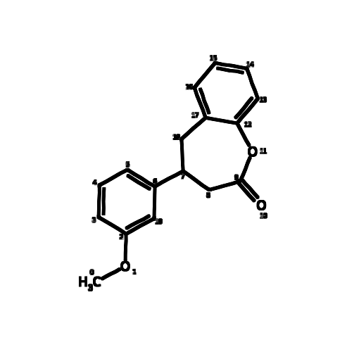 COc1cccc(C2CC(=O)Oc3ccccc3C2)c1